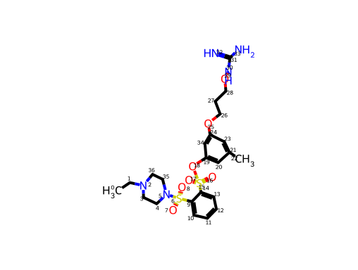 CCN1CCN(S(=O)(=O)c2ccccc2S(=O)(=O)Oc2cc(C)cc(OCCCONC(=N)N)c2)CC1